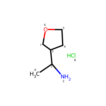 CC(N)C1CCOC1.Cl